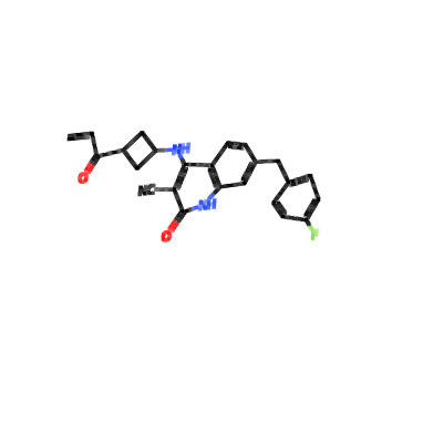 C=CC(=O)C1CC(Nc2c(C#N)c(=O)[nH]c3cc(Cc4ccc(F)cc4)ccc23)C1